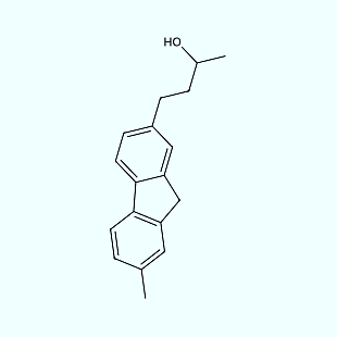 Cc1ccc2c(c1)Cc1cc(CCC(C)O)ccc1-2